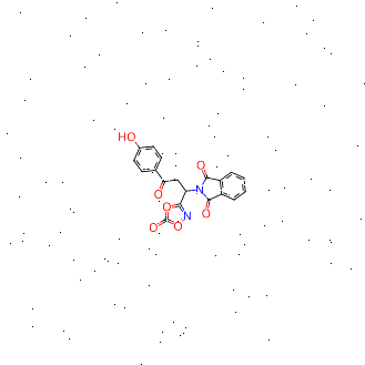 O=C(CC(c1noc(=O)o1)N1C(=O)c2ccccc2C1=O)c1ccc(O)cc1